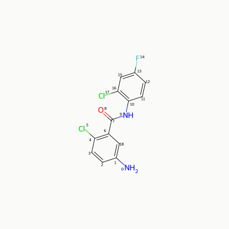 Nc1ccc(Cl)c(C(=O)Nc2ccc(F)cc2Cl)c1